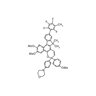 COc1ccc(C2(c3ccc(N4CCOCC4)cc3)C=Cc3c4c(c5cc(OC)c(OC)cc5c3O2)-c2ccc(-c3c(F)c(C)c(F)c(F)c3F)cc2C4(C)C)cc1